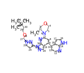 C[C@@H]1COCCN1c1cc(-c2ccnc3[nH]ccc23)c2cnn(-c3ccn(COCC[Si](C)(C)C)n3)c2n1